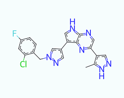 Cc1[nH]ncc1-c1cnc2[nH]cc(-c3cnn(Cc4ccc(F)cc4Cl)c3)c2n1